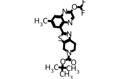 Cc1cc(-c2nc3c(s2)CN(C(=O)OC(C)(C)C)CC3)c2ncc(OC(F)F)nc2c1